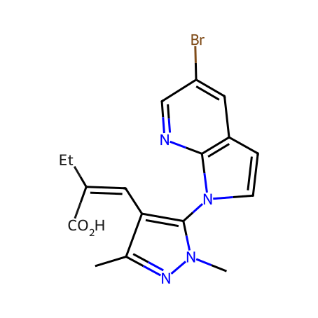 CCC(=Cc1c(C)nn(C)c1-n1ccc2cc(Br)cnc21)C(=O)O